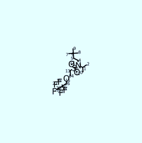 CC(C)N(CCC(C)(C)C)S(=O)(=O)CCOCC(F)(F)C(F)(F)F